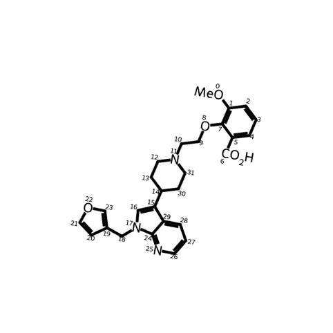 COc1cccc(C(=O)O)c1OCCN1CCC(c2cn(Cc3ccoc3)c3ncccc23)CC1